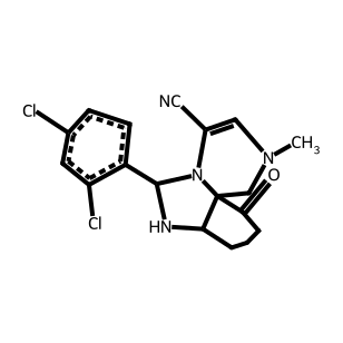 CN1C=C(C#N)N2C(c3ccc(Cl)cc3Cl)NC3CCCC(=O)C32C1